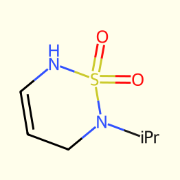 CC(C)N1CC=CNS1(=O)=O